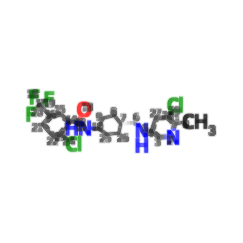 Cc1ncc(NC[C@H]2CC[C@H](NC(=O)c3cc(C(F)(F)F)ccc3Cl)CC2)cc1Cl